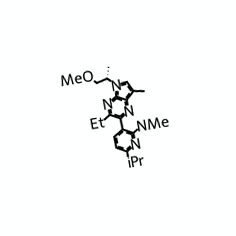 CCc1nc2c(nc1-c1ccc(C(C)C)nc1NC)c(C)cn2[C@@H](C)COC